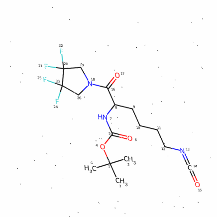 CC(C)(C)OC(=O)NC(CCCCN=C=O)C(=O)N1CC(F)(F)C(F)(F)C1